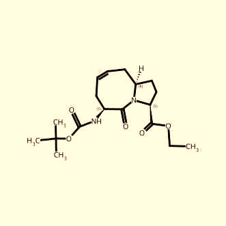 CCOC(=O)[C@@H]1CC[C@@H]2C/C=C\C[C@H](NC(=O)OC(C)(C)C)C(=O)N21